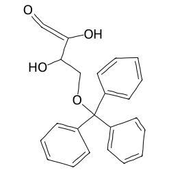 O=C=C(O)C(O)COC(c1ccccc1)(c1ccccc1)c1ccccc1